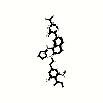 CCC(C)c1c(Cl)cc(CCOc2ccc3ccc(-c4nnc(C(C)C)[nH]c4=O)cc3c2N=C2CCCC2)cc1OC